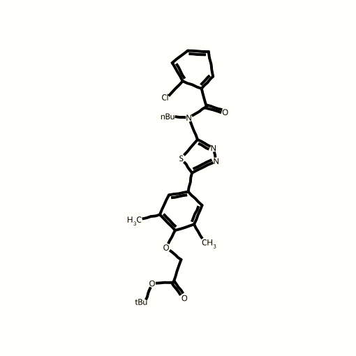 CCCCN(C(=O)c1ccccc1Cl)c1nnc(-c2cc(C)c(OCC(=O)OC(C)(C)C)c(C)c2)s1